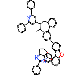 CC1c2ccc(-c3ccc4oc5cccc(C6=C/CC/C(c7ccccc7)=N/C(c7ccccc7)=N\6)c5c4c3)cc2-c2ccccc2CC1c1cc(-c2ccccc2)nc(-c2ccccc2)c1